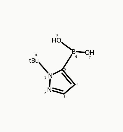 CC(C)(C)n1nccc1B(O)O